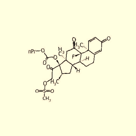 CCCOC(=O)O[C@]1(C(=O)COS(C)(=O)=O)[C@H](C)C[C@H]2[C@@H]3CCC4=CC(=O)C=C[C@]4(C)[C@@]3(F)C(=O)C[C@@]21C